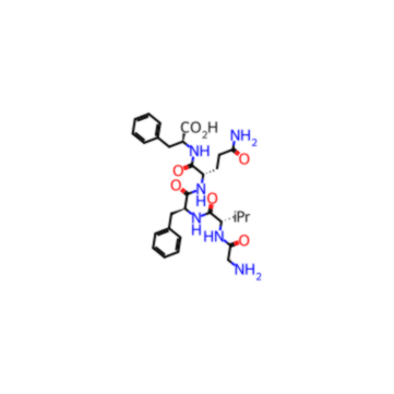 CC(C)[C@H](NC(=O)CN)C(=O)N[C@@H](Cc1ccccc1)C(=O)N[C@@H](CCC(N)=O)C(=O)N[C@@H](Cc1ccccc1)C(=O)O